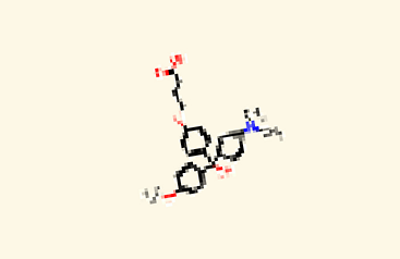 COc1ccc(C(O)(c2ccc(O[CH]CCC(=O)O)cc2)c2ccc(N(C)C)cc2)cc1